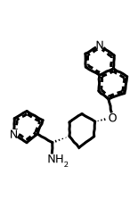 NC(c1cccnc1)[C@H]1CC[C@@H](Oc2ccc3cnccc3c2)CC1